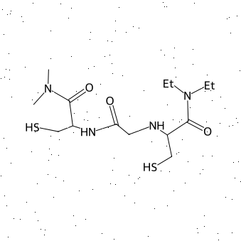 CCN(CC)C(=O)C(CS)NCC(=O)NC(CS)C(=O)N(C)C